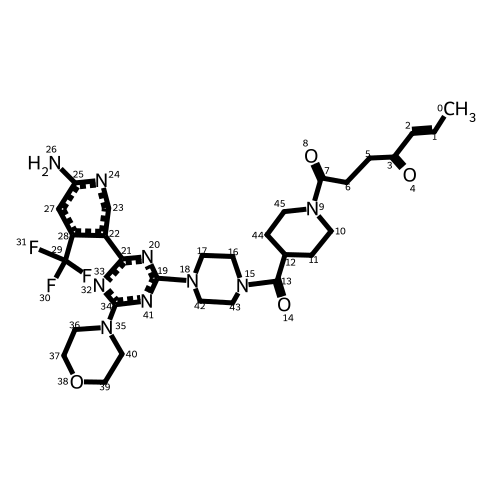 C/C=C/C(=O)CCC(=O)N1CCC(C(=O)N2CCN(c3nc(-c4cnc(N)cc4C(F)(F)F)nc(N4CCOCC4)n3)CC2)CC1